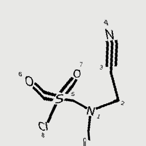 CN(CC#N)S(=O)(=O)Cl